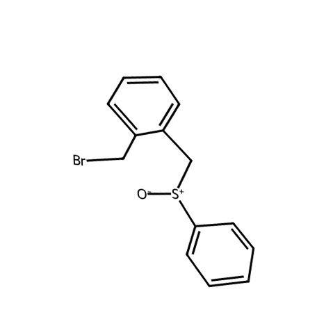 [O-][S+](Cc1ccccc1CBr)c1ccccc1